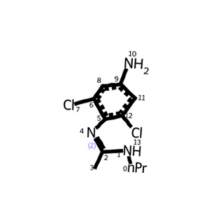 CCCN/C(C)=N\c1c(Cl)cc(N)cc1Cl